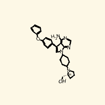 Nc1ncnc2c1c(-c1ccc(Oc3ccccc3)cc1)cn2C1CCC(N2CCC[C@@H]2CO)CC1